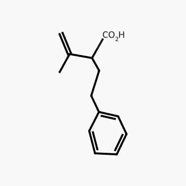 C=C(C)C(CCc1ccccc1)C(=O)O